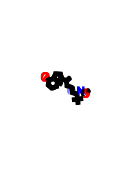 CON=C(/C=C/CC(C)C1=CCC2C(=O)CCCC12C)C(C)(C)C